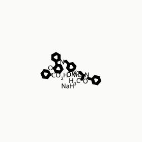 COc1cc(Cn2c3ccccc3c3c(Oc4ccccc4C(=O)O)cccc32)ccc1OCc1nc(-c2ccccc2)oc1C.[NaH]